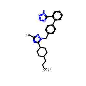 CC(C)(C)c1nc(C2CCC(CCC(=O)O)CC2)n(Cc2ccc(-c3ccccc3-c3nnn[nH]3)cc2)n1